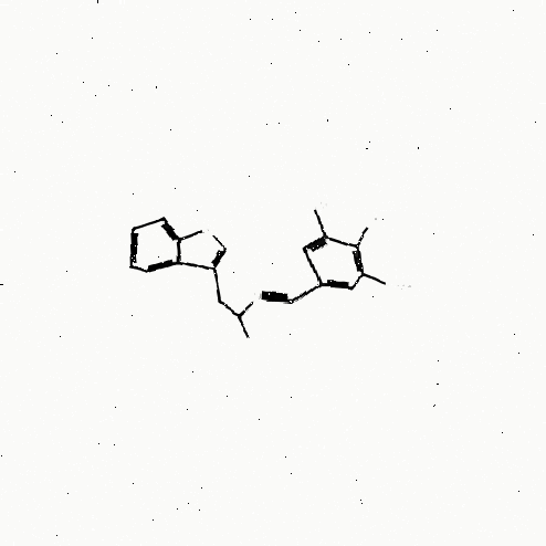 COc1cc(C=NC(Cc2c[nH]c3ccccc23)C(=O)O)cc(OC)c1O